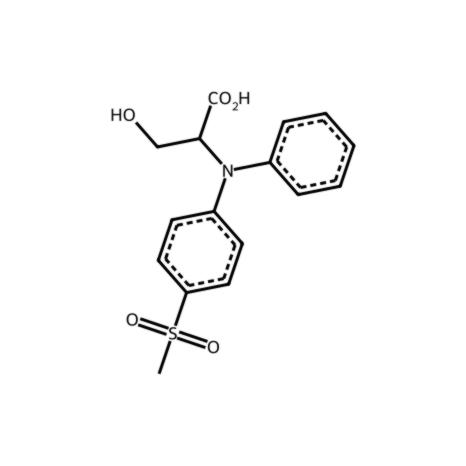 CS(=O)(=O)c1ccc(N(c2ccccc2)C(CO)C(=O)O)cc1